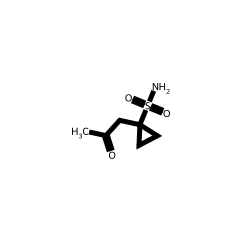 CC(=O)CC1(S(N)(=O)=O)CC1